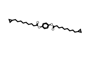 O=C(CCCCCCCCC1CC1)Oc1ccc(OC(=O)CCCCCCCCC2CC2)cc1